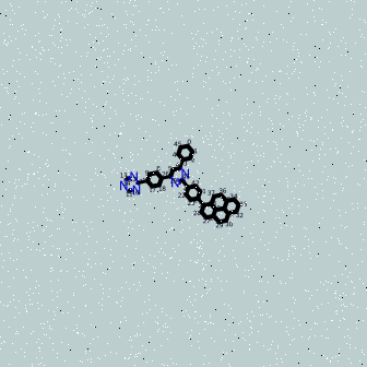 c1ccc(-c2cc(-c3ccc(-c4ncncn4)cc3)nc(-c3ccc(-c4ccc5ccc6cccc7ccc4c5c67)cc3)n2)cc1